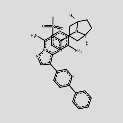 CS(=O)(=O)c1c([C@H]2C[C@H]3CC[C@@H](C2)N3c2ncccc2N)nc2c(-c3ccc(-c4ccccc4)nc3)cnn2c1N